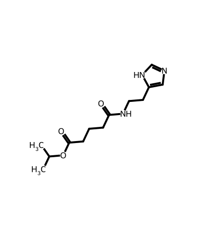 CC(C)OC(=O)CCCC(=O)NCCc1cnc[nH]1